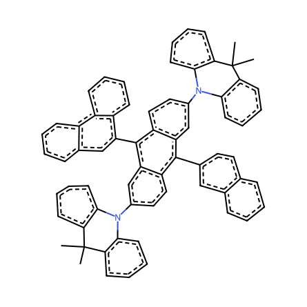 CC1(C)c2ccccc2N(c2ccc3c(-c4cc5ccccc5c5ccccc45)c4cc(N5c6ccccc6C(C)(C)c6ccccc65)ccc4c(-c4ccc5ccccc5c4)c3c2)c2ccccc21